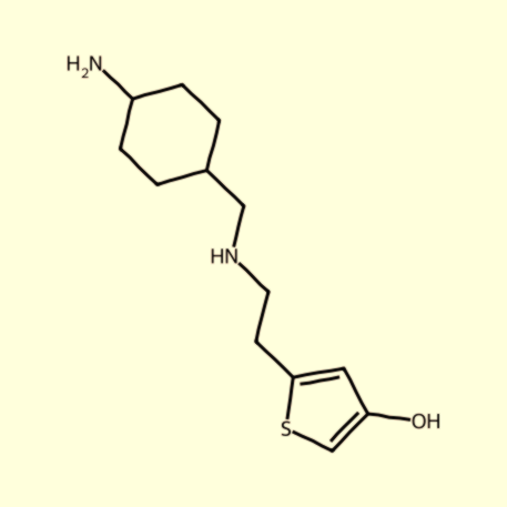 NC1CCC(CNCCc2cc(O)cs2)CC1